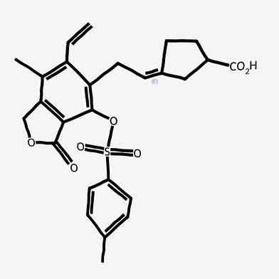 C=Cc1c(C)c2c(c(OS(=O)(=O)c3ccc(C)cc3)c1C/C=C1\CCC(C(=O)O)C1)C(=O)OC2